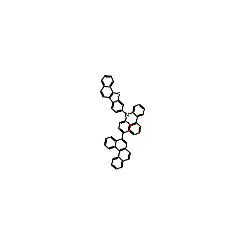 c1ccc(-c2ccccc2N(c2ccc(-c3cc4ccc5ccccc5c4c4ccccc34)cc2)c2ccc3c(c2)sc2c4ccccc4ccc32)cc1